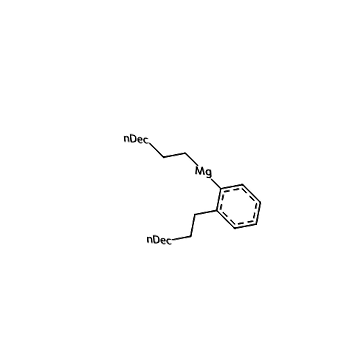 CCCCCCCCCCC[CH2][Mg][c]1ccccc1CCCCCCCCCCCC